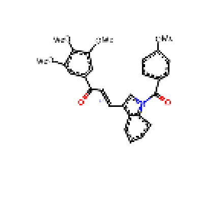 COc1ccc(C(=O)n2cc(/C=C/C(=O)c3cc(OC)c(OC)c(OC)c3)c3ccccc32)cc1